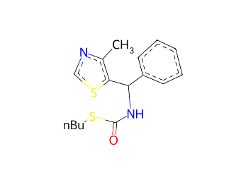 CCCCSC(=O)NC(c1ccccc1)c1scnc1C